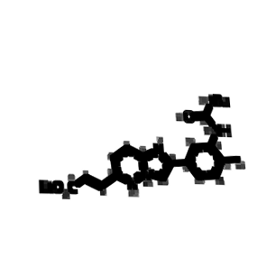 CCOC(=O)C=Cc1ccc2nc(-c3ccc(C)c(NC(=O)C(C)(C)C)c3)cn2n1